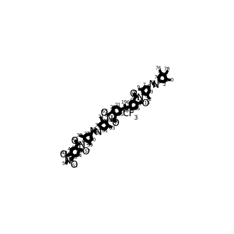 Cc1cc(/N=N/c2cc(C)c(N3C(=O)c4ccc(C(C)(c5ccc6c(c5)C(=O)N(c5c(C)cc(/N=N/c7cc(C)c(-n8c(=O)c9cc%10c(=O)n(C)c(=O)c%10cc9c8=O)c(C)c7)cc5C)C6=O)C(F)(F)F)cc4C3=O)c(C)c2)cc(C)c1C